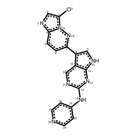 Clc1cnc2ccc(-c3c[nH]c4nc(Nc5ccncc5)ncc34)nn12